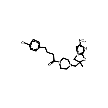 CC1(CN2CCN(C(=O)CCCc3ccc(Cl)cc3)CC2)Cn2cc([N+](=O)[O-])nc2O1